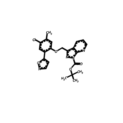 Cc1cc(OCc2nn(C(=O)OC(C)(C)C)c3ncccc23)c(-c2ccno2)cc1Cl